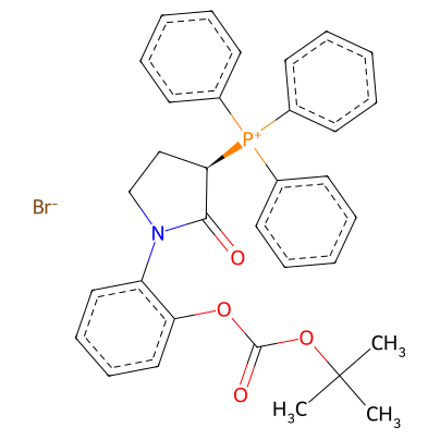 CC(C)(C)OC(=O)Oc1ccccc1N1CC[C@@H]([P+](c2ccccc2)(c2ccccc2)c2ccccc2)C1=O.[Br-]